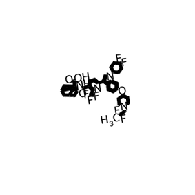 CC(F)(F)CN1CCC(Oc2ccc3c(-c4ccc(C(=O)NC5(C(=O)O)C6CC7CC(C6)CC5C7)c(C(F)(F)F)n4)cn(C4CCC(F)(F)CC4)c3c2)CC1